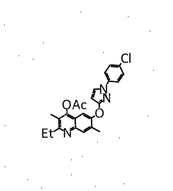 CCc1nc2cc(C)c(Oc3ccn(-c4ccc(Cl)cc4)n3)cc2c(OC(C)=O)c1C